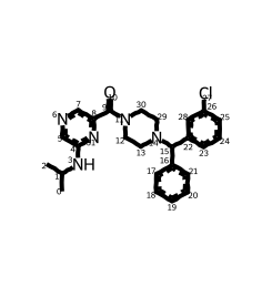 CC(C)Nc1cncc(C(=O)N2CCN(C(c3ccccc3)c3cccc(Cl)c3)CC2)n1